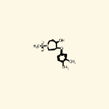 Cc1ccc(OC2CCN(S(C)(=O)=O)CCC2O)cc1C